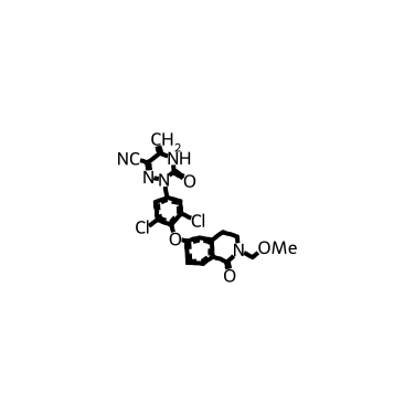 C=C1NC(=O)N(c2cc(Cl)c(Oc3ccc4c(c3)CCN(COC)C4=O)c(Cl)c2)N=C1C#N